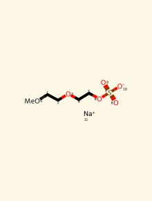 COCCOCCOS(=O)(=O)[O-].[Na+]